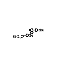 CCOC(=O)/C=C/c1ccc([Se]c2ccc3c(c2)C(C)(C)CC=C3c2ccc(C(C)(C)C)cc2)cc1